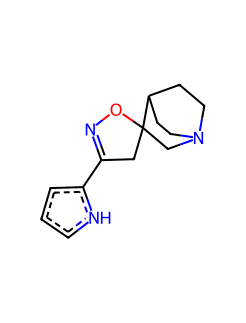 c1c[nH]c(C2=NOC3(C2)CN2CCC3CC2)c1